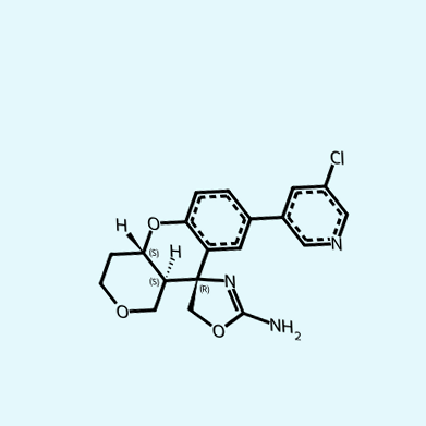 NC1=N[C@@]2(CO1)c1cc(-c3cncc(Cl)c3)ccc1O[C@H]1CCOC[C@@H]12